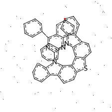 c1ccc(-c2nc(-n3c4ccccc4c4ccc5sc6ccc7c8ccccc8n(-c8ccccc8)c7c6c5c43)nc3ccccc23)cc1